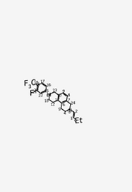 CCC=C[C@H]1CCc2c(ccc3c2CC[C@H](c2ccc(C(F)(F)F)c(F)c2)C3)C1